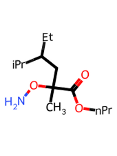 CCCOC(=O)C(C)(CC(CC)C(C)C)ON